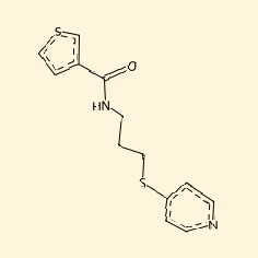 O=C(NCCCSc1ccncc1)c1ccsc1